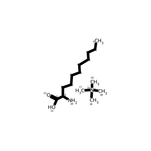 CCCCCCCCCC(N)C(=O)O.C[N+](C)(C)C